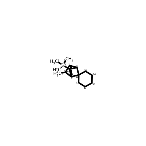 CC1[C]=C2C([Si](C)(C)C)=C1C21CCCCC1